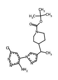 CC(c1cnn(-c2cc(Cl)nnc2N)c1)C1CCN(C(=O)OC(C)(C)C)CC1